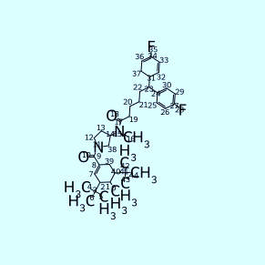 CC1C(C(C)(C)C)C=C(C(=O)N2CCC(N(C)C(=O)CCCCC(c3ccc(F)cc3)C3C=CC(F)=CC3)C2)CC1C(C)(C)C